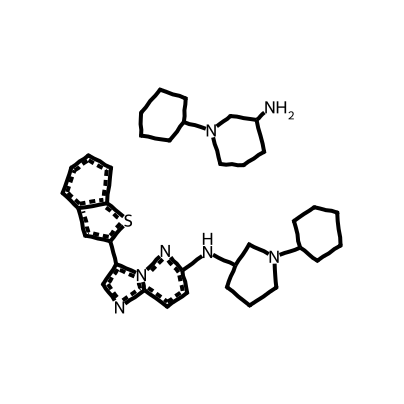 NC1CCCN(C2CCCCC2)C1.c1ccc2sc(-c3cnc4ccc(NC5CCCN(C6CCCCC6)C5)nn34)cc2c1